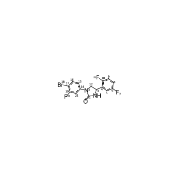 O=C1NC(c2cc(F)ccc2F)CN1c1ccc(Br)c(F)c1